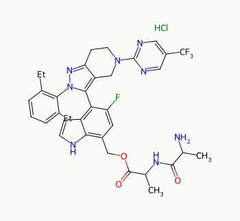 CCc1cccc(CC)c1-n1nc2c(c1-c1c(F)cc(COC(=O)C(C)NC(=O)C(C)N)c3[nH]ccc13)CN(c1ncc(C(F)(F)F)cn1)CC2.Cl